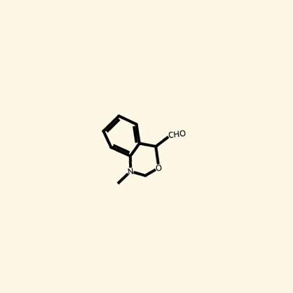 CN1COC(C=O)c2ccccc21